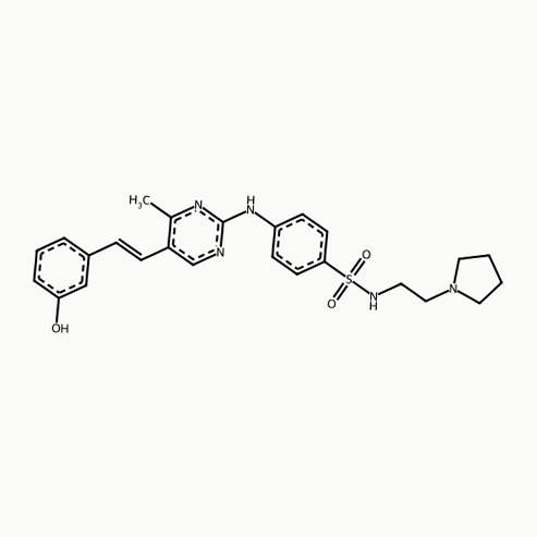 Cc1nc(Nc2ccc(S(=O)(=O)NCCN3CCCC3)cc2)ncc1/C=C/c1cccc(O)c1